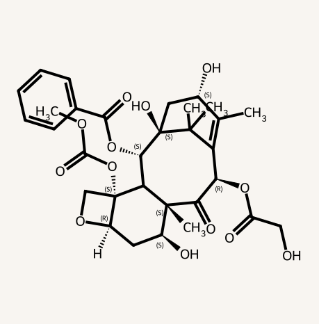 COC(=O)O[C@@]12CO[C@@H]1C[C@H](O)[C@@]1(C)C(=O)[C@H](OC(=O)CO)C3=C(C)[C@@H](O)C[C@@](O)([C@@H](OC(=O)c4ccccc4)C12)C3(C)C